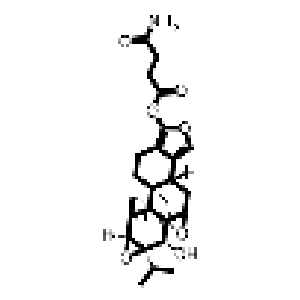 CC(C)[C@]12O[C@H]1[C@@H]1C[C@]13[C@]1(O[C@H]1C[C@H]1c4coc(OC(=O)CCC(N)=O)c4CC[C@@]13C)[C@@H]2O